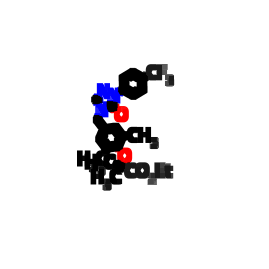 CCOC(=O)C(C)(C)Oc1c(C)cc(Cn2cnn(-c3ccc(C(F)(F)F)cc3)c2=O)cc1C